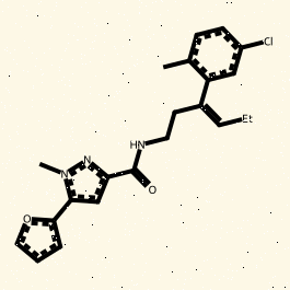 CC/C=C(/CCNC(=O)c1cc(-c2ccco2)n(C)n1)c1cc(Cl)ccc1C